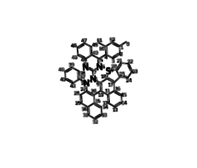 Cc1ccc(-c2nc(N3c4c(c5ccccc5c5c4sc4ccccc45)-c4c(ccc5ccccc45)N3c3ccccc3)nc3ccccc23)c(C)c1